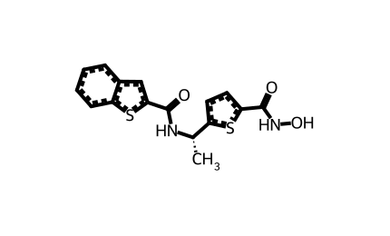 C[C@H](NC(=O)c1cc2ccccc2s1)c1ccc(C(=O)NO)s1